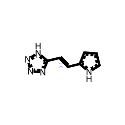 C(=C\c1nnn[nH]1)/c1ccc[nH]1